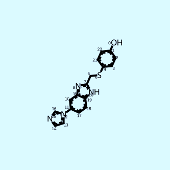 Oc1ccc(SCc2nc3cc(-n4ccnc4)ccc3[nH]2)cc1